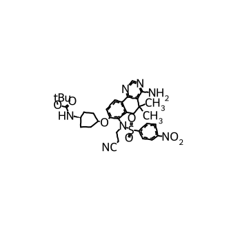 CC(C)(C)OC(=O)N[C@H]1CC[C@H](Oc2ccc3c(c2N(CCC#N)S(=O)(=O)c2ccc([N+](=O)[O-])cc2)CC(C)(C)c2c(N)ncnc2-3)CC1